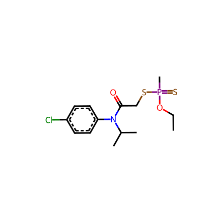 CCOP(C)(=S)SCC(=O)N(c1ccc(Cl)cc1)C(C)C